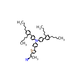 CCCCCc1ccc(-c2ccc(N(c3ccc(-c4ccc(/C=C(\C)C#N)s4)cc3)c3ccc(-c4ccc(CCCCC)cc4CCCCC)cc3)cc2)c(CCCCC)c1